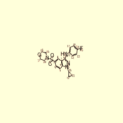 O=S(=O)(c1ccc2c(c1)c(Nc1ccc(F)cc1)nn2C1CC1)N1CCOCC1